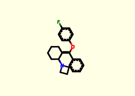 Fc1ccc(OC(=C2CCCCC2N2CCC2)c2ccccc2)cc1